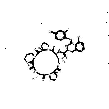 Cc1cccc(C[C@H](NC(=O)Nc2ccc(Cl)cc2F)C(=O)N[C@@H]2C(=O)N3CCC[C@H]3C(=O)N3CCCC[C@H]3C(=O)N[C@@H](C)C(=O)N3CCC[C@H]3C(=O)O[C@H]2C)c1